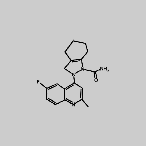 Cc1cc(N2CC3=C(CC[CH]C3)N2C(N)=O)c2cc(F)ccc2n1